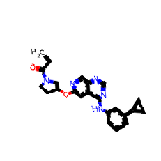 C=CC(=O)N1CCC(Oc2cc3c(Nc4cccc(C5CC5)c4)ncnc3cn2)C1